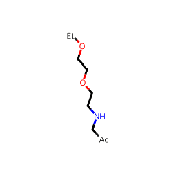 CCOCCOCCNCC(C)=O